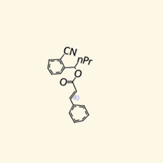 CCCC(OC(=O)/C=C/c1ccccc1)c1ccccc1C#N